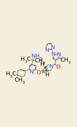 Cc1nn(-c2ncccn2)cc1C(=O)N1C[C@@H]2[C@H](C1)[C@@H]2Oc1cc(C(C)(C)N)cc(C2=CCC(C)(C)CC2)n1